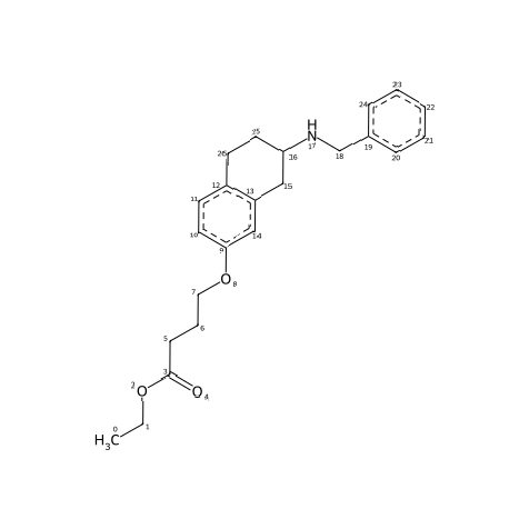 CCOC(=O)CCCOc1ccc2c(c1)CC(NCc1ccccc1)CC2